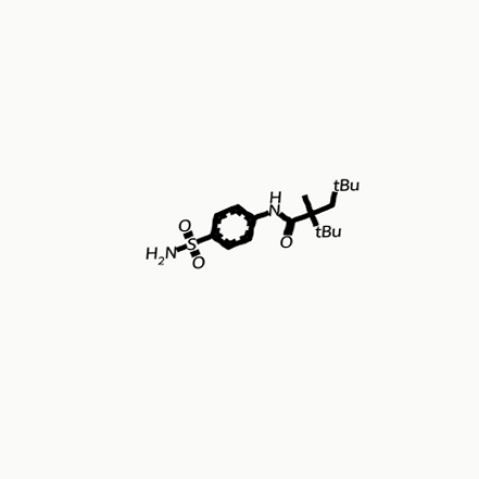 CC(C)(C)CC(C)(C(=O)Nc1ccc(S(N)(=O)=O)cc1)C(C)(C)C